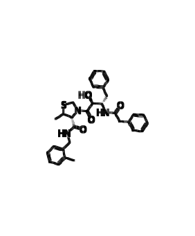 Cc1ccccc1CNC(=O)[C@@H]1C(C)SCN1C(=O)[C@@H](O)[C@H](Cc1ccccc1)NC(=O)Cc1ccccc1